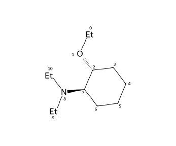 CCO[C@@H]1CCCC[C@H]1N(CC)CC